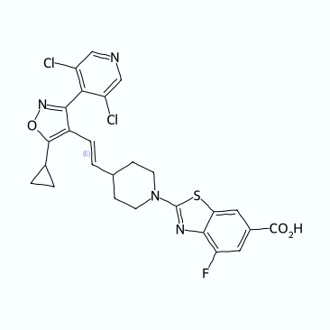 O=C(O)c1cc(F)c2nc(N3CCC(/C=C/c4c(-c5c(Cl)cncc5Cl)noc4C4CC4)CC3)sc2c1